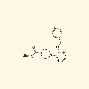 CC(C)(C)OC(=O)N1CCN(c2nccnc2OCc2ccncc2)CC1